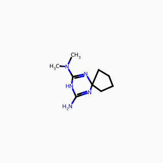 CN(C)C1=NC2(CCCC2)N=C(N)N1